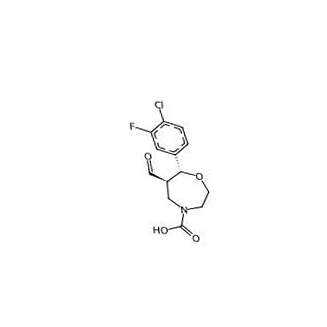 O=C[C@@H]1CN(C(=O)O)CCO[C@H]1c1ccc(Cl)c(F)c1